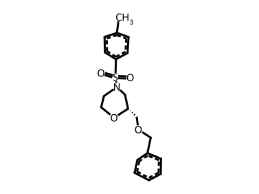 Cc1ccc(S(=O)(=O)N2CCO[C@@H](COCc3ccccc3)C2)cc1